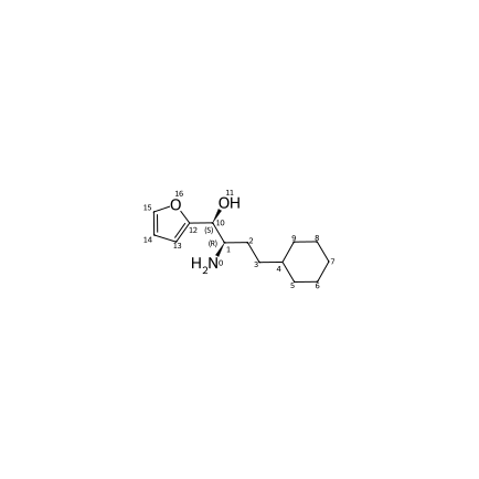 N[C@H](CCC1CCCCC1)[C@H](O)c1ccco1